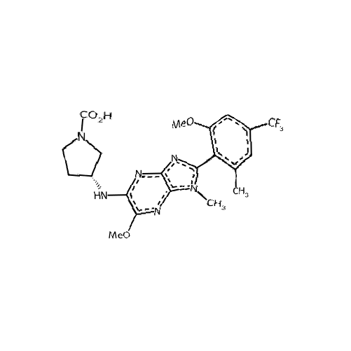 COc1cc(C(F)(F)F)cc(C)c1-c1nc2nc(N[C@@H]3CCN(C(=O)O)C3)c(OC)nc2n1C